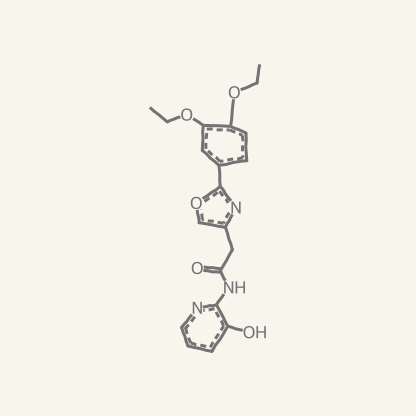 CCOc1ccc(-c2nc(CC(=O)Nc3ncccc3O)co2)cc1OCC